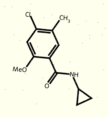 COc1cc(Cl)c(C)cc1C(=O)NC1CC1